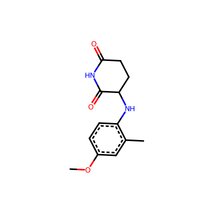 COc1ccc(NC2CCC(=O)NC2=O)c(C)c1